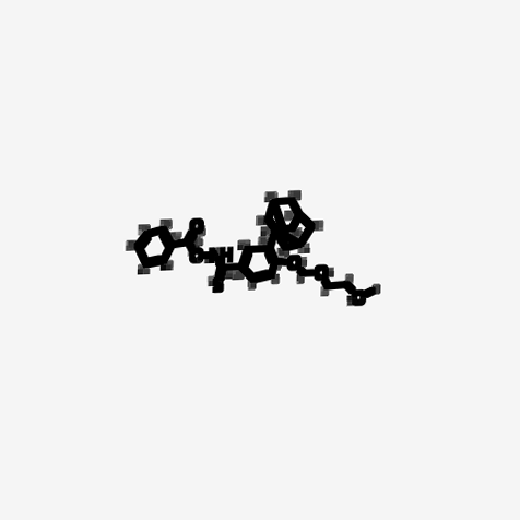 COCCOCOc1ccc(C(=S)NOC(=O)c2ccccc2)cc1C12CC3CC(CC(C3)C1)C2